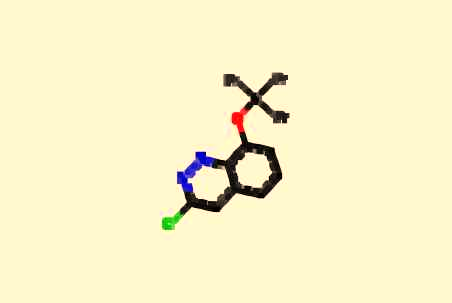 CC(C)[Si](Oc1cccc2cc(Cl)nnc12)(C(C)C)C(C)C